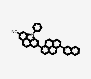 N#Cc1cc2ccc3cc(-c4ccc5ccc6c(-c7ccc8ccccc8c7)ccc7ccc4c5c76)cc4c3c2c(c1)n4-c1ccccc1